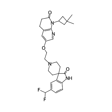 CC1(C)CC(N2C(=O)CCc3cc(OCCN4CCC5(CC4)C(=O)Nc4ccc(C(F)F)cc45)cnc32)C1